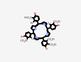 CCOC(=O)c1c(Br)ccc(-c2c3nc(c(-c4ccc(Br)c(C(=O)OCC)c4C(=O)OCC)c4ccc([nH]4)c(-c4ccc(Br)c(C(=O)OCC)c4C(=O)OCC)c4nc(c(-c5ccc(Br)c(C(=O)OCC)c5C(=O)OCC)c5ccc2[nH]5)C=C4)C=C3)c1C(C)=O